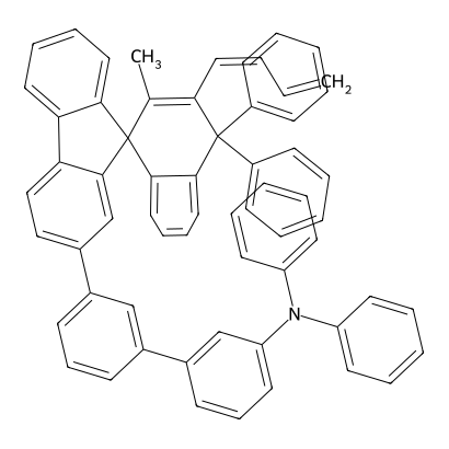 C=C/C=C\C1=C(C)C2(c3ccccc3-c3ccc(-c4cccc(-c5cccc(N(c6ccccc6)c6ccccc6)c5)c4)cc32)c2ccccc2C1(c1ccccc1)c1ccccc1